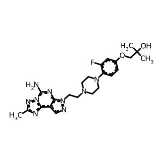 Cc1nc2c3cnn(CCN4CCN(c5ccc(OCC(C)(C)O)cc5F)CC4)c3nc(N)n2n1